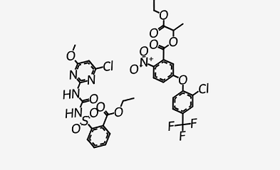 CCOC(=O)C(C)OC(=O)c1cc(Oc2ccc(C(F)(F)F)cc2Cl)ccc1[N+](=O)[O-].CCOC(=O)c1ccccc1S(=O)(=O)NC(=O)Nc1nc(Cl)cc(OC)n1